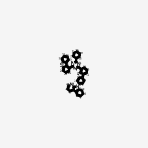 C1=Cc2c(n(-c3ccc4c(c3)sc3c(-c5nc(-c6ccccc6)nc(-c6cccc7sc8ccccc8c67)n5)cccc34)c3ncccc23)CC1